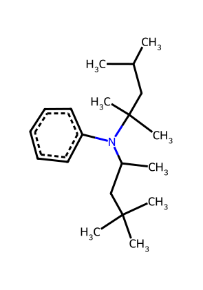 CC(C)CC(C)(C)N(c1ccccc1)C(C)CC(C)(C)C